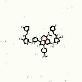 CN(C)C1CCN(C(C(=O)C(c2cccc(Nc3cc(NCc4cccc(F)c4)c(Cl)cn3)c2)N2CCC(N(C)C)CC2)c2cccc(Nc3cc(NCc4cccc(F)c4)c(Cl)cn3)c2)CC1